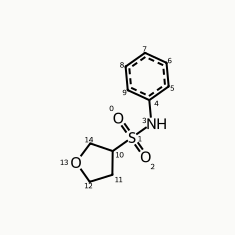 O=S(=O)(Nc1ccccc1)C1CCOC1